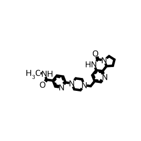 CNC(=O)c1ccc(N2CCN(Cc3cnc4c(c3)NC(=O)N3CCCC43)CC2)nc1